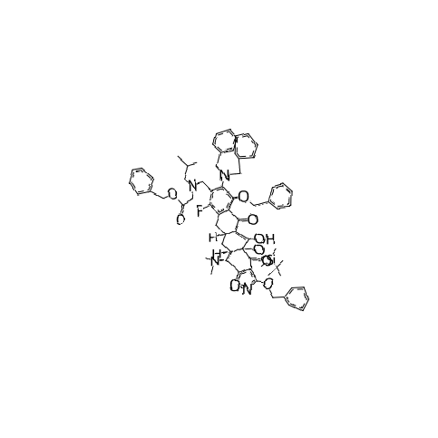 CC(C)CN(CC(=O)OCc1ccccc1)Cc1c(F)c2c(c(OCc3ccccc3)c1N(Cc1ccccc1)Cc1ccccc1)C(=O)C1=C(O)C3(O[Si](C)(C)C(C)(C)C)C(=O)c4c(OCc5ccccc5)noc4[C@@H](N(C)C)[C@@H]3C[C@@H]1C2